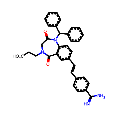 N=C(N)c1ccc(C=Cc2ccc3c(c2)C(=O)N(CCC(=O)O)CC(=O)N3C(c2ccccc2)c2ccccc2)cc1